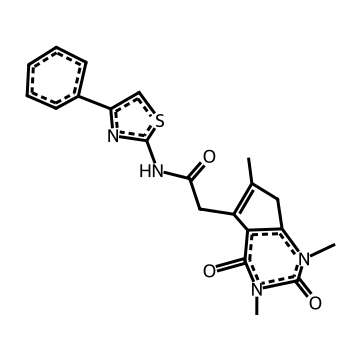 CC1=C(CC(=O)Nc2nc(-c3ccccc3)cs2)c2c(n(C)c(=O)n(C)c2=O)C1